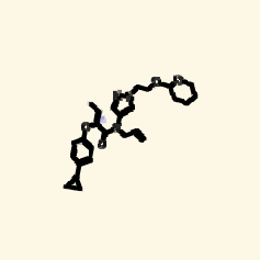 C=CCN(C(=O)/C(=C/C)Oc1ccc(C2CC2)cc1)c1cnn(CCOC2CCCCO2)c1